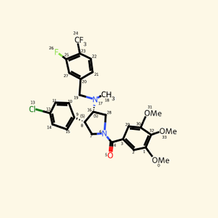 COc1cc(C(=O)N2C[C@H](c3ccc(Cl)cc3)[C@H](N(C)Cc3ccc(C(F)(F)F)c(F)c3)C2)cc(OC)c1OC